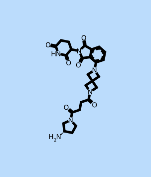 N[C@H]1CCN(C(=O)CCC(=O)N2CC3(C2)CN(c2cccc4c2C(=O)N(C2CCC(=O)NC2=O)C4=O)C3)C1